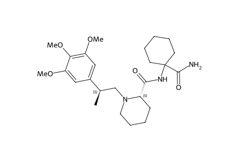 COc1cc([C@H](C)CN2CCCC[C@H]2C(=O)NC2(C(N)=O)CCCCC2)cc(OC)c1OC